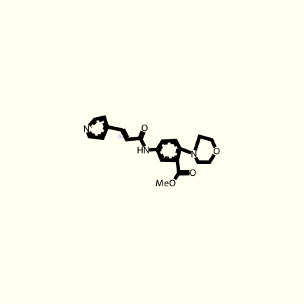 COC(=O)c1cc(NC(=O)/C=C/c2ccncc2)ccc1N1CCOCC1